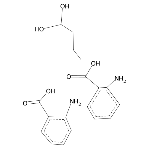 CCCC(O)O.Nc1ccccc1C(=O)O.Nc1ccccc1C(=O)O